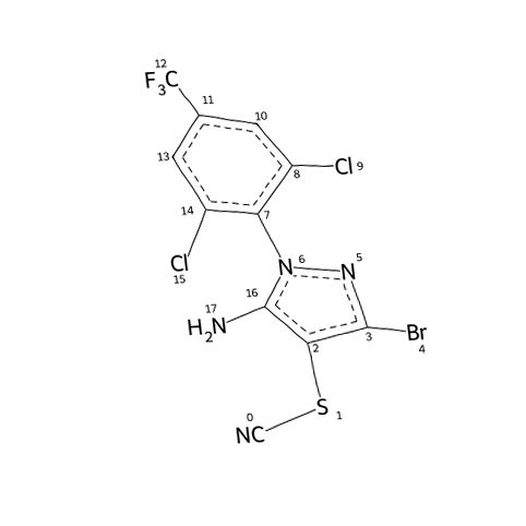 N#CSc1c(Br)nn(-c2c(Cl)cc(C(F)(F)F)cc2Cl)c1N